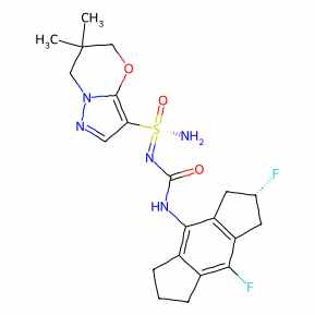 CC1(C)COc2c([S@@](N)(=O)=NC(=O)Nc3c4c(c(F)c5c3C[C@H](F)C5)CCC4)cnn2C1